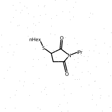 CCCCCCSC1CC(=O)N(C(C)C)C1=O